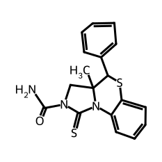 CC12CN(C(N)=O)C(=S)N1c1ccccc1SC2c1ccccc1